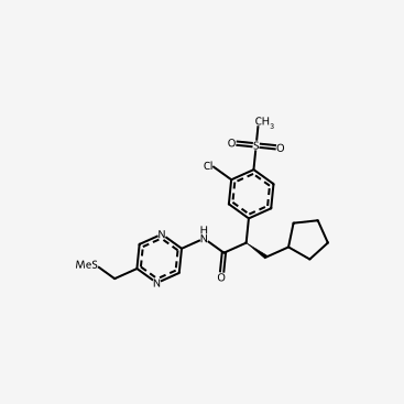 CSCc1cnc(NC(=O)[C@H](CC2CCCC2)c2ccc(S(C)(=O)=O)c(Cl)c2)cn1